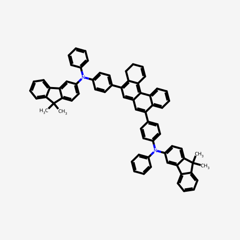 CC1(C)c2ccccc2-c2cc(N(c3ccccc3)c3ccc(-c4cc5cc(-c6ccc(N(c7ccccc7)c7ccc8c(c7)-c7ccccc7C8(C)C)cc6)c6ccccc6c5c5c4CCC=C5)cc3)ccc21